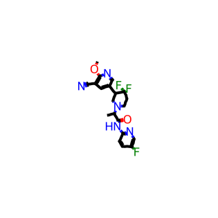 COc1ncc(C2CN(C(C)C(=O)Nc3ccc(F)cn3)CCC2(F)F)cc1C#N